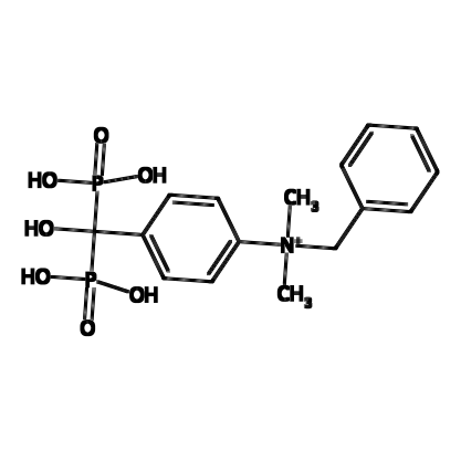 C[N+](C)(Cc1ccccc1)c1ccc(C(O)(P(=O)(O)O)P(=O)(O)O)cc1